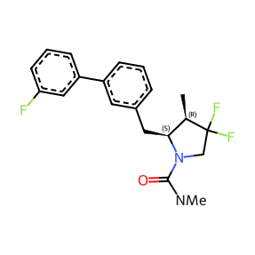 CNC(=O)N1CC(F)(F)[C@H](C)[C@@H]1Cc1cccc(-c2cccc(F)c2)c1